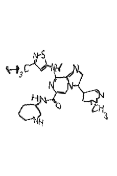 Cc1cc(NC2=NC(C(=O)NC3CCCNC3)=CN3C2=NCC3C2C=NN(C)C2)sn1